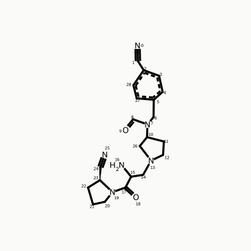 N#Cc1ccc(CN(C=O)C2CCN(CC(N)C(=O)N3CCC[C@H]3C#N)C2)cc1